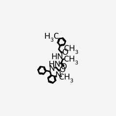 Cc1ccc(C)c(CC(=O)NC(C)C(=O)N[C@H]2N=C(c3ccccc3)c3ccccc3N(C)C2=O)c1